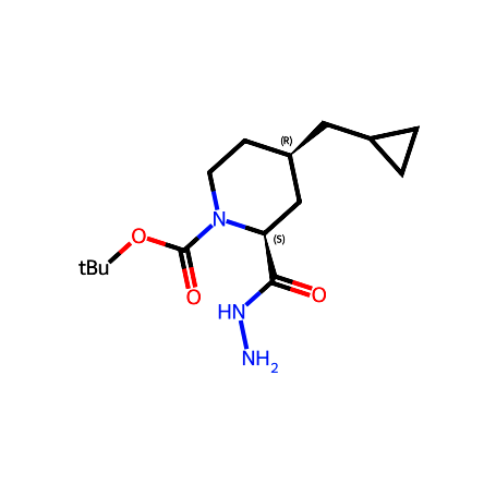 CC(C)(C)OC(=O)N1CC[C@@H](CC2CC2)C[C@H]1C(=O)NN